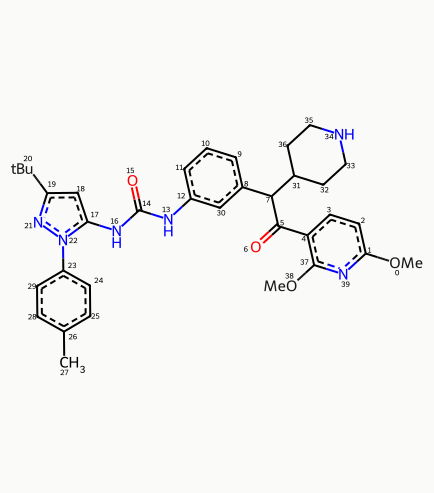 COc1ccc(C(=O)C(c2cccc(NC(=O)Nc3cc(C(C)(C)C)nn3-c3ccc(C)cc3)c2)C2CCNCC2)c(OC)n1